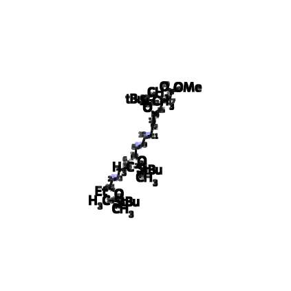 CC[C@H](/C=C/CCC[C@H](/C=C/C=C/C#C[C@H](CCCC(=O)OC)O[Si](C)(C)C(C)(C)C)O[Si](C)(C)C(C)(C)C)O[Si](C)(C)C(C)(C)C